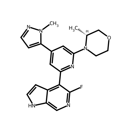 C[C@@H]1COCCN1c1cc(-c2ccnn2C)cc(-c2c(F)ncc3[nH]ccc23)n1